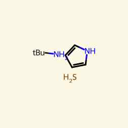 CC(C)(C)N.S.c1cc[nH]c1